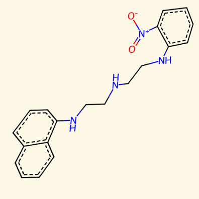 O=[N+]([O-])c1ccccc1NCCNCCNc1cccc2ccccc12